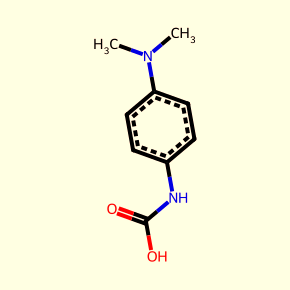 CN(C)c1ccc(NC(=O)O)cc1